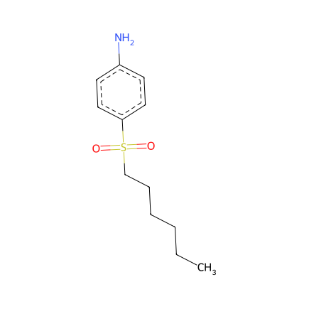 CCCCCCS(=O)(=O)c1ccc(N)cc1